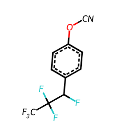 N#COc1ccc(C(F)C(F)(F)C(F)(F)F)cc1